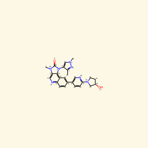 Cc1nn(C)cc1-n1c(=O)n(C)c2cnc3ccc(-c4ccc(N5CC[C@@H](O)C5)nc4)cc3c21